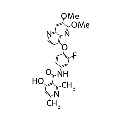 COc1cc2nccc(Oc3ccc(NC(=O)c4c(O)cc(C)nc4C)cc3F)c2nc1OC